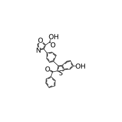 O=C(O)c1ocnc1-c1ccc(-c2c(C(=O)c3ccccc3)sc3cc(O)ccc23)cc1